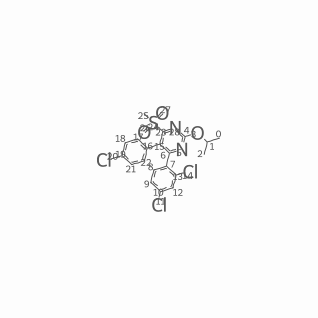 CC(C)Oc1nc(-c2ccc(Cl)cc2Cl)c(-c2ccc(Cl)cc2)c(S(C)(=O)=O)n1